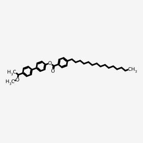 CCCCCCCCCCCCCCCc1ccc(C(=O)Oc2ccc(-c3ccc(C(C)OC)cc3)cc2)cc1